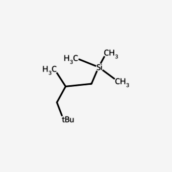 CC(CC(C)(C)C)C[Si](C)(C)C